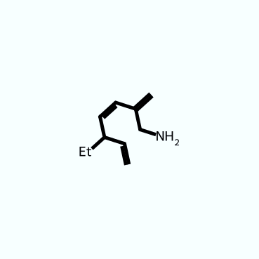 C=CC(/C=C\C(=C)CN)CC